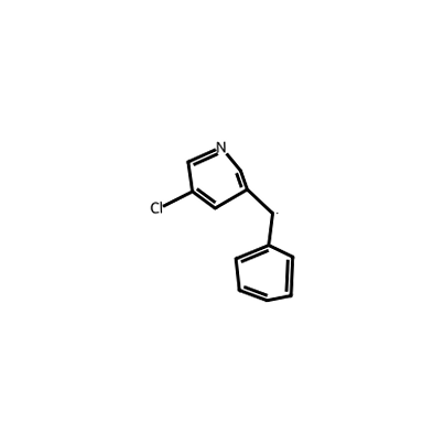 Clc1cncc([CH]c2ccccc2)c1